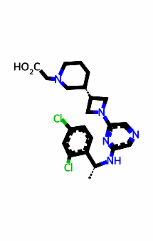 C[C@@H](Nc1cncc(N2CC([C@H]3CCCN(CC(=O)O)C3)C2)n1)c1ccc(Cl)cc1Cl